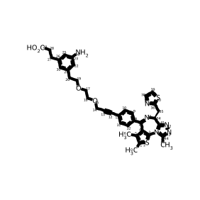 Cc1sc2c(c1C)C(c1ccc(C#CCOCCOCCc3cc(N)cc(CCC(=O)O)c3)cc1)=N[C@@H](Cc1nccs1)c1nnc(C)n1-2